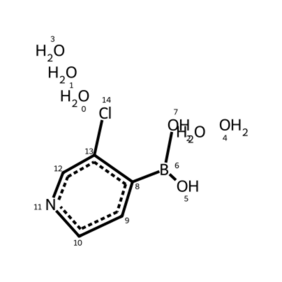 O.O.O.O.O.OB(O)c1ccncc1Cl